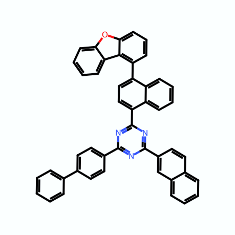 c1ccc(-c2ccc(-c3nc(-c4ccc5ccccc5c4)nc(-c4ccc(-c5cccc6oc7ccccc7c56)c5ccccc45)n3)cc2)cc1